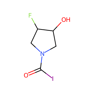 O=C(I)N1CC(O)C(F)C1